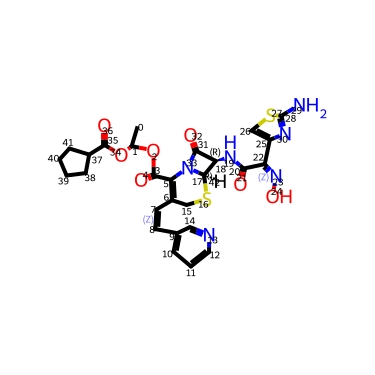 CC(OC(=O)C1=C(/C=C\c2cccnc2)CS[C@@H]2[C@H](NC(=O)/C(=N\O)c3csc(N)n3)C(=O)N12)OC(=O)C1CCCC1